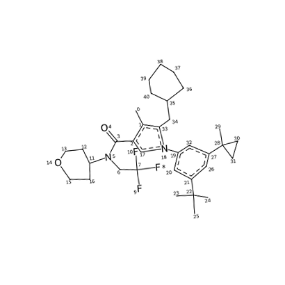 Cc1c(C(=O)N(CC(F)(F)F)C2CCOCC2)cn(-c2cc(C(C)(C)C)cc(C3(C)CC3)c2)c1CC1CCCCC1